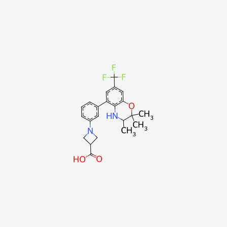 CC1Nc2c(cc(C(F)(F)F)cc2-c2cccc(N3CC(C(=O)O)C3)c2)OC1(C)C